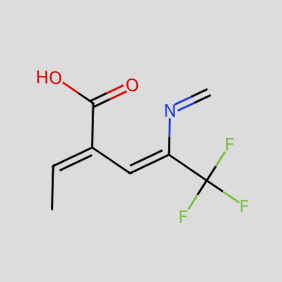 C=N/C(=C\C(=C/C)C(=O)O)C(F)(F)F